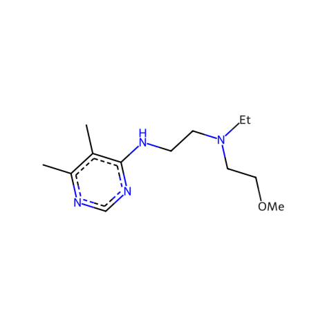 CCN(CCNc1ncnc(C)c1C)CCOC